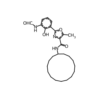 Cc1oc(-c2cccc(NC=O)c2O)nc1C(=O)NC1CCCCCCCCCCCCCC1